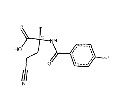 C[C@](CCC#N)(NC(=O)c1ccc(I)cc1)C(=O)O